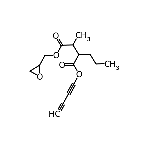 C#CC#COC(=O)C(CCC)C(C)C(=O)OCC1CO1